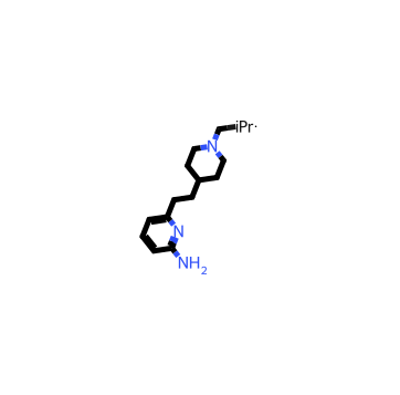 C[C](C)CN1CCC(CCc2cccc(N)n2)CC1